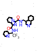 O=C(NC(c1ccccn1)C(F)(F)F)c1nc(C(=O)NCc2cncc3ccccc23)n2ccccc12